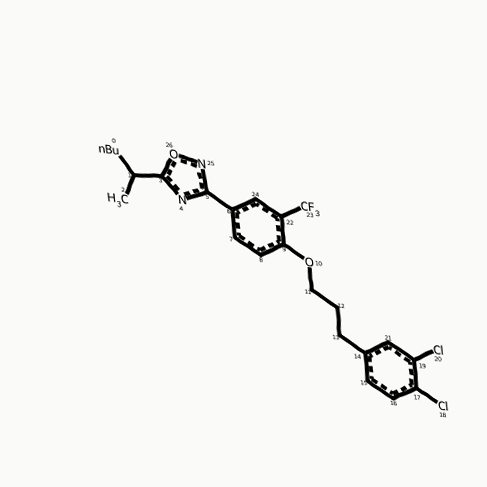 CCCCC(C)c1nc(-c2ccc(OCCCc3ccc(Cl)c(Cl)c3)c(C(F)(F)F)c2)no1